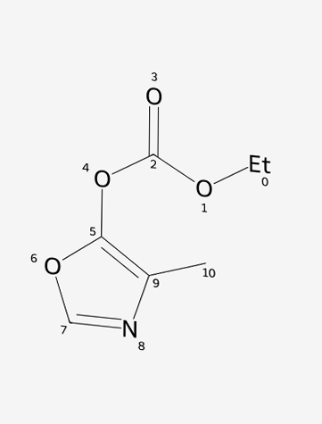 CCOC(=O)Oc1ocnc1C